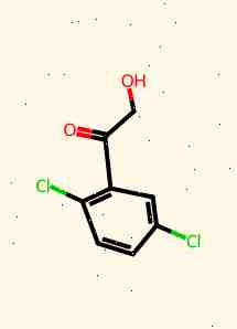 O=C(CO)c1cc(Cl)ccc1Cl